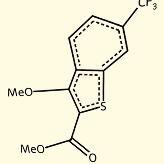 COC(=O)c1sc2cc(C(F)(F)F)ccc2c1OC